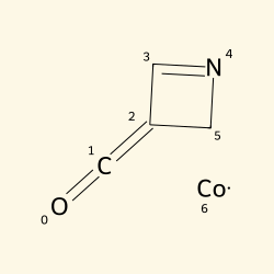 O=C=C1C=NC1.[Co]